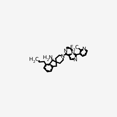 C=CCc1cccc2c1[C@@H](N)C1(CCN(c3nccn4c(-c5cccnc5C(F)(F)F)ncc34)CC1)C2